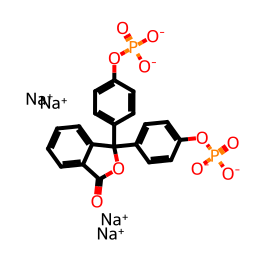 O=C1OC(c2ccc(OP(=O)([O-])[O-])cc2)(c2ccc(OP(=O)([O-])[O-])cc2)c2ccccc21.[Na+].[Na+].[Na+].[Na+]